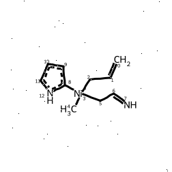 C=C[CH2][Ni]([CH3])([CH2]C=N)[c]1ccc[nH]1